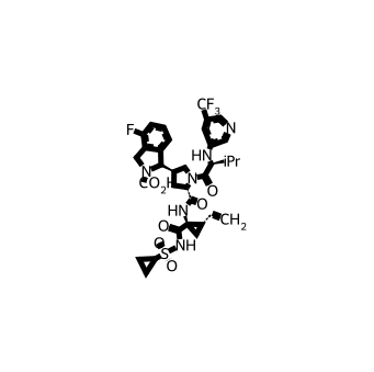 C=C[C@@H]1C[C@]1(NC(=O)[C@@H]1C[C@@H](C2c3cccc(F)c3CN2C(=O)O)CN1C(=O)[C@@H](Nc1cncc(C(F)(F)F)c1)C(C)C)C(=O)NS(=O)(=O)C1CC1